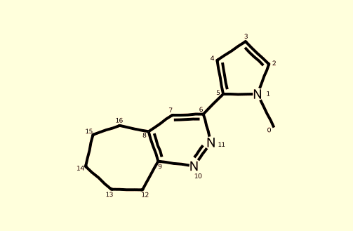 Cn1cccc1-c1cc2c(nn1)CCCCC2